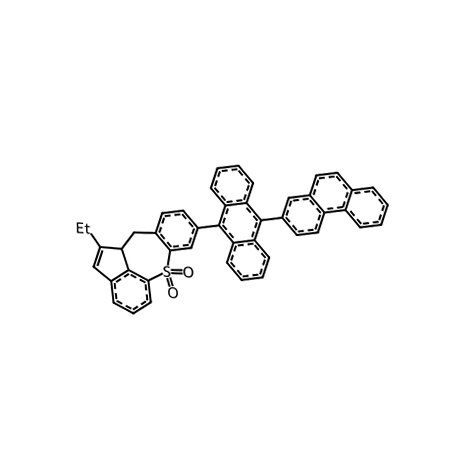 CCC1=Cc2cccc3c2C1Cc1ccc(-c2c4ccccc4c(-c4ccc5c(ccc6ccccc65)c4)c4ccccc24)cc1S3(=O)=O